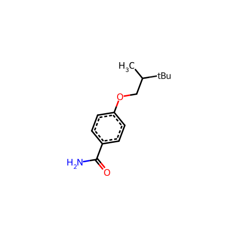 CC(COc1ccc(C(N)=O)cc1)C(C)(C)C